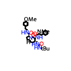 CN[C@H](Cc1ccccc1)C(=O)N[C@@H]1C(=O)N2[C@@H](CC[C@@H]1CNC(=O)NC(C)(C)C)CC[C@H]2C(=O)NCCc1ccc(OC)cc1